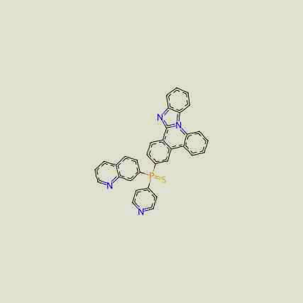 S=P(c1ccncc1)(c1ccc2cccnc2c1)c1ccc2c(c1)c1ccccc1n1c3ccccc3nc21